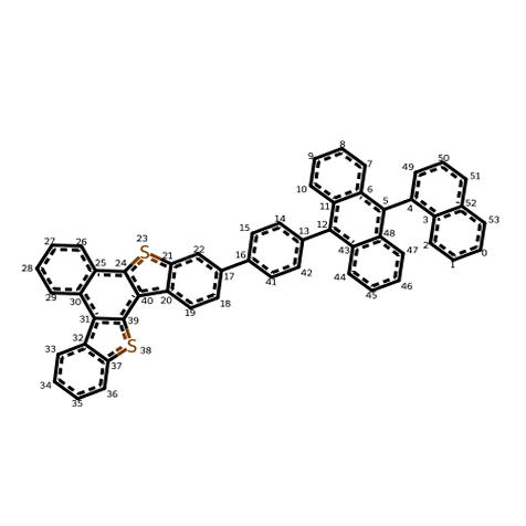 c1ccc2c(-c3c4ccccc4c(-c4ccc(-c5ccc6c(c5)sc5c7ccccc7c7c8ccccc8sc7c65)cc4)c4ccccc34)cccc2c1